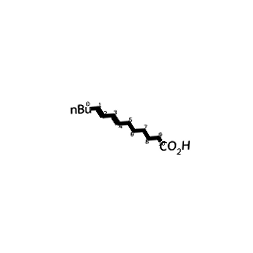 CCCCC=CC=CCCCCCC(=O)O